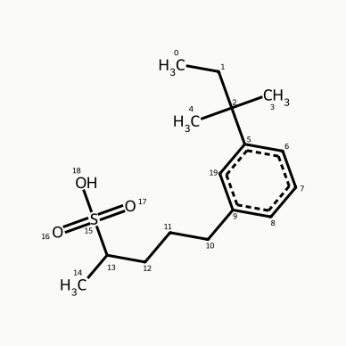 CCC(C)(C)c1cccc(CCCC(C)S(=O)(=O)O)c1